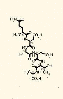 CC(C)[C@H](NC(=O)[C@H](CC(=O)O)NC(=O)[C@@H](N)CCC(N)=O)C(=O)N[C@@H](CC(=O)O)C(=O)N[C@H](C(=O)N[C@@H](C)C(=O)O)[C@@H](C)O